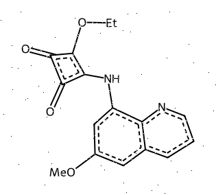 CCOc1c(Nc2cc(OC)cc3cccnc23)c(=O)c1=O